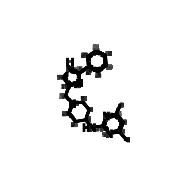 Cc1cc(C)nc(NC2CCN(Cc3c[nH]c(-c4ccccc4)n3)CC2)n1